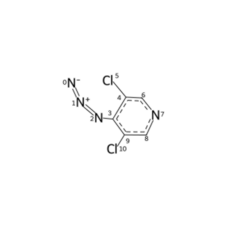 [N-]=[N+]=Nc1c(Cl)cncc1Cl